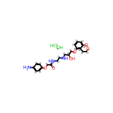 Cl.Cl.Nc1ccc(OCC(=O)NCCNCC(O)COc2cccc3c2CCOO3)cc1